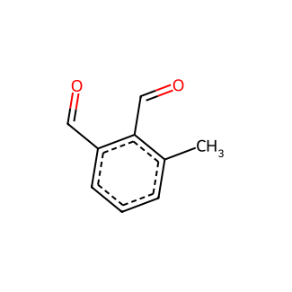 Cc1cccc(C=O)c1C=O